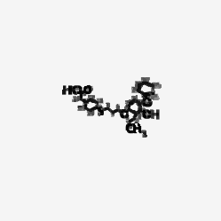 CCCc1c(OCCCSc2ccc(CC(=O)O)cc2)ccc(Oc2ccccc2)c1O